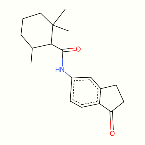 CC1CCCC(C)(C)C1C(=O)Nc1ccc2c(c1)CCC2=O